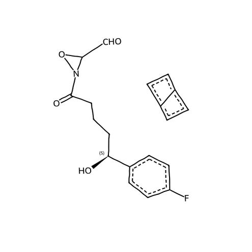 O=CC1ON1C(=O)CCC[C@H](O)c1ccc(F)cc1.c1cc2ccc1-2